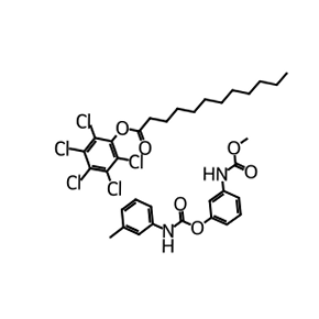 CCCCCCCCCCCC(=O)Oc1c(Cl)c(Cl)c(Cl)c(Cl)c1Cl.COC(=O)Nc1cccc(OC(=O)Nc2cccc(C)c2)c1